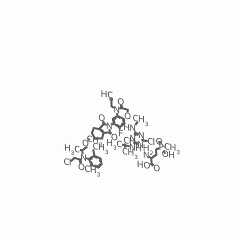 C#CCN1C(=O)COc2cc(F)c(N3C(=O)C4=C(CCCC4)C3=O)cc21.CCNc1nc(Cl)nc(NC(C)(C)C)n1.CCc1cccc(C)c1N(C(=O)CCl)C(C)COC.CP(=O)(O)CCC(N)C(=O)O